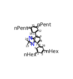 CCCCCCc1cc(CCCCCC)cc(-c2ccc(-c3cc(CCCCC)cc(CCCCC)c3)c3c2=NC(C)(C)N=3)c1